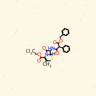 CC1=C(C(=O)OCC(Cl)(Cl)Cl)N2C(=O)C(NC(=O)C(C(=O)OCc3ccccc3)c3ccccc3)[C@@H]2SC1